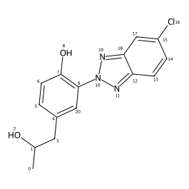 CC(O)Cc1ccc(O)c(-n2nc3ccc(Cl)cc3n2)c1